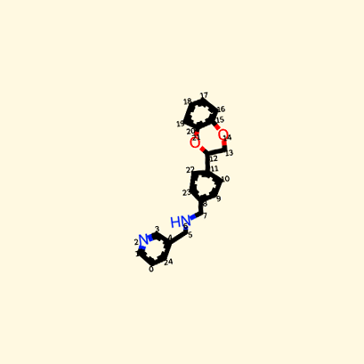 c1cncc(CNCc2ccc(C3COc4ccccc4O3)cc2)c1